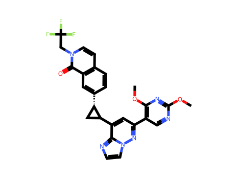 COc1ncc(-c2cc(C3C[C@@H]3c3ccc4ccn(CC(F)(F)F)c(=O)c4c3)c3nccn3n2)c(OC)n1